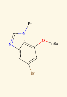 CCCCOc1cc(Br)cc2ncn(CC)c12